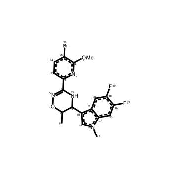 COc1nc(C2=NOC(C)C(c3cn(C)c4cc(F)c(F)cc34)N2)ccc1Br